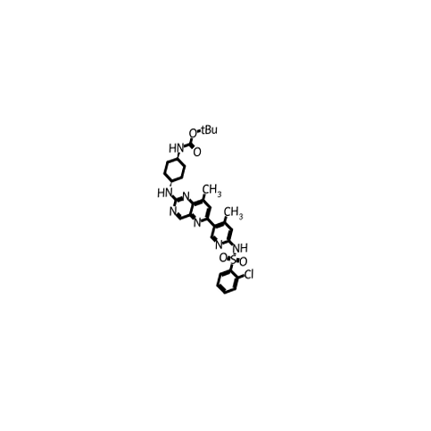 Cc1cc(NS(=O)(=O)c2ccccc2Cl)ncc1-c1cc(C)c2nc(N[C@H]3CC[C@H](NC(=O)OC(C)(C)C)CC3)ncc2n1